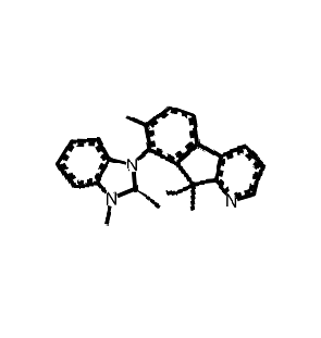 Cc1ccc2c(c1N1c3ccccc3N(C)[C@@H]1C)C(C)(C)c1ncccc1-2